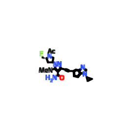 CNc1c(C(N)=O)c(C#Cc2ccc3c(c2)ncn3C2CC2)nn1[C@H]1C[C@H](CF)N(C(C)=O)C1